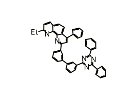 CCc1ccc2ccc3c(-c4ccccc4)cc(-c4cccc(-c5cccc(-c6nc(-c7ccccc7)nc(-c7ccccc7)n6)c5)c4)nc3c2n1